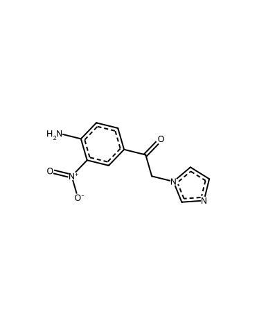 Nc1ccc(C(=O)Cn2ccnc2)cc1[N+](=O)[O-]